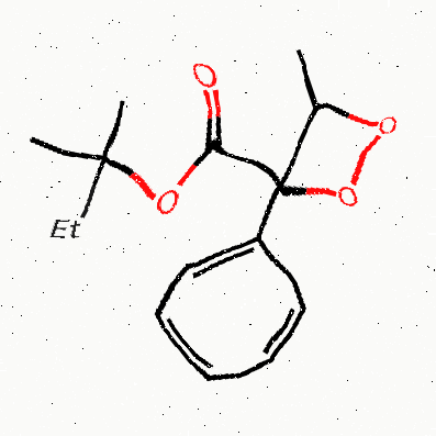 CCC(C)(C)OC(=O)C1(c2ccccc2)OOC1C